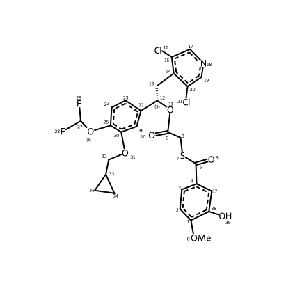 COc1ccc(C(=O)SCC(=O)O[C@@H](Cc2c(Cl)cncc2Cl)c2ccc(OC(F)F)c(OCC3CC3)c2)cc1O